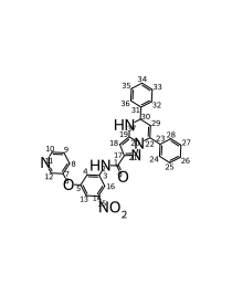 O=C(Nc1cc(Oc2cccnc2)cc([N+](=O)[O-])c1)c1cc2n(n1)C(c1ccccc1)=CC(c1ccccc1)N2